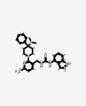 CN(C)C1(c2ccccc2)CCN(c2nc(C(F)(F)F)ccc2CNC(=O)Nc2cccc3[nH]ncc23)CC1